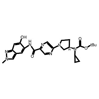 Cn1cc2cc(NC(=O)c3cnc(N4CC[C@@H](N(C(=O)OC(C)(C)C)C5CC5)C4)cn3)c(O)cc2n1